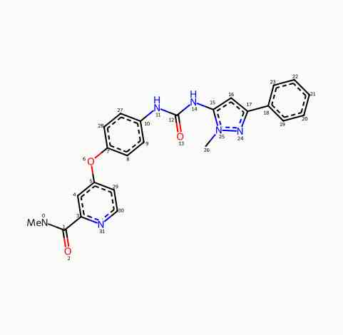 CNC(=O)c1cc(Oc2ccc(NC(=O)Nc3cc(-c4ccccc4)nn3C)cc2)ccn1